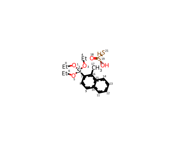 CCO[Si](OCC)(OCC)c1ccc2ccccc2c1C.O=[SH](O)=S